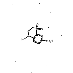 O=C(O)c1ccc2c(c1)S(=O)(=O)CCC2O